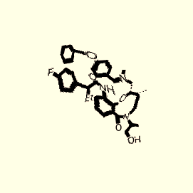 CCC(C(=O)Nc1cccc2c1O[C@H](CN(C)Cc1ccc(Oc3ccccc3)cc1)[C@H](C)CN(C(C)CO)C2=O)c1ccc(F)cc1